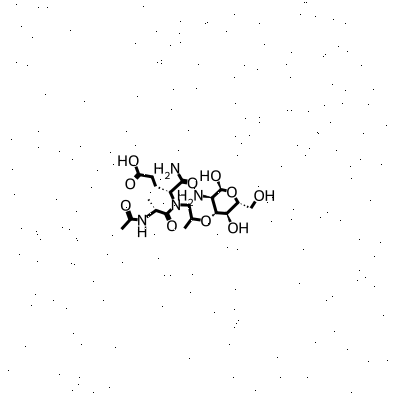 CC(=O)N[C@H](C)C(=O)N(CC(C)O[C@@H]1[C@@H](N)[C@@H](O)O[C@H](CO)[C@H]1O)[C@H](CCC(=O)O)C(N)=O